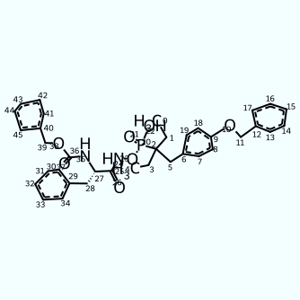 CCC(CC)(Cc1ccc(OCc2ccccc2)cc1)P(=O)(O)ONC(=O)[C@H](Cc1ccccc1)NC(=O)OCc1ccccc1